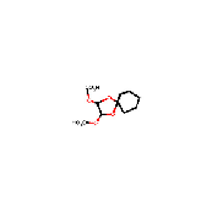 O=C(O)OC1OC2(CCCCC2)OC1OC(=O)O